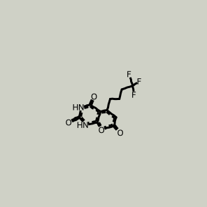 O=c1[nH]c(=O)c2c(CCCC(F)(F)F)cc(=O)oc2[nH]1